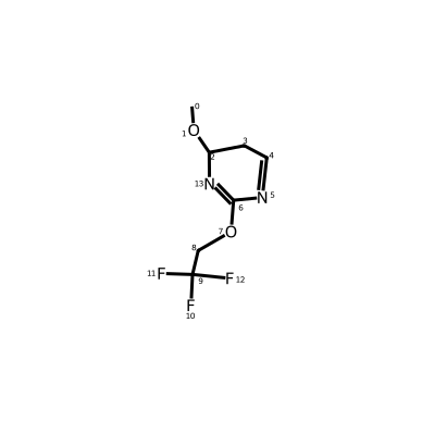 COC1CC=NC(OCC(F)(F)F)=N1